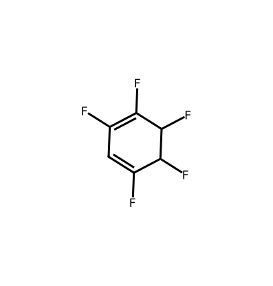 FC1=CC(F)=C(F)C(F)C1F